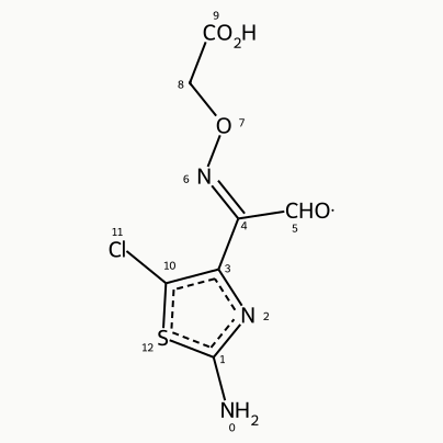 Nc1nc(/C([C]=O)=N/OCC(=O)O)c(Cl)s1